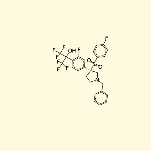 O=S(=O)(c1ccc(F)cc1)[C@]1(c2ccc(C(O)(C(F)(F)F)C(F)(F)F)c(F)c2)CCN(Cc2ccccc2)C1